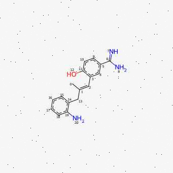 C/C(=C\c1cc(C(=N)N)ccc1O)Cc1ccccc1N